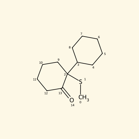 CSC1(C2CCCCC2)CCCCC1=O